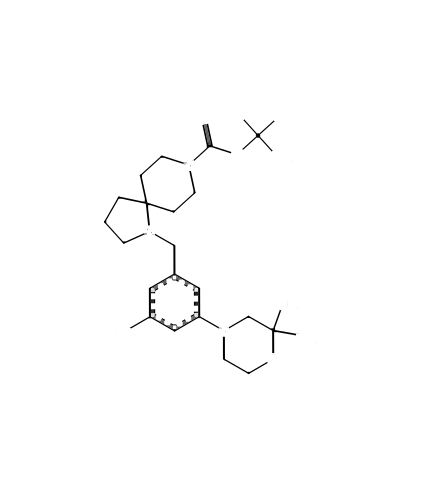 Cc1cc(CN2CCCC23CCN(C(=O)OC(C)(C)C)CC3)cc(N2CCOC(C)(C)C2)c1